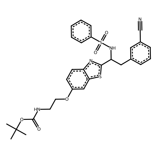 CC(C)(C)OC(=O)NCCOc1ccc2nc(C(Cc3cccc(C#N)c3)NS(=O)(=O)c3ccccc3)sc2c1